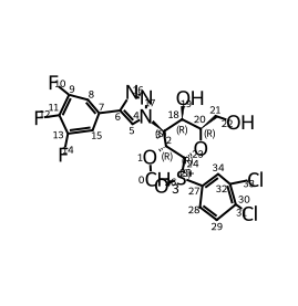 CO[C@@H]1[C@@H](n2cc(-c3cc(F)c(F)c(F)c3)nn2)[C@@H](O)[C@@H](CO)O[C@@H]1[S@+]([O-])c1ccc(Cl)c(Cl)c1